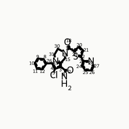 NC(=O)c1c(Cl)c(-c2ccccc2)n2c1CN(C(=O)c1ccc(-c3ccccn3)s1)CC2